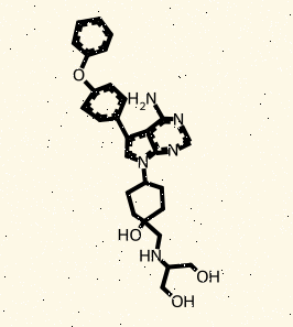 Nc1ncnc2c1c(-c1ccc(Oc3ccccc3)cc1)cn2C1CCC(O)(CNC(CO)CO)CC1